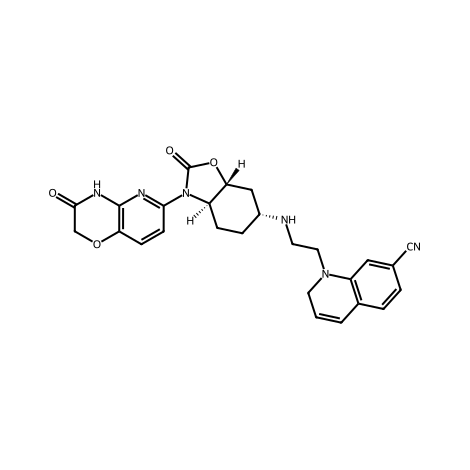 N#Cc1ccc2c(c1)N(CCN[C@@H]1CC[C@@H]3[C@@H](C1)OC(=O)N3c1ccc3c(n1)NC(=O)CO3)CC=C2